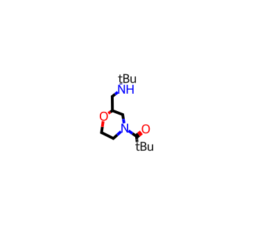 CC(C)(C)NCC1CN(C(=O)C(C)(C)C)CCO1